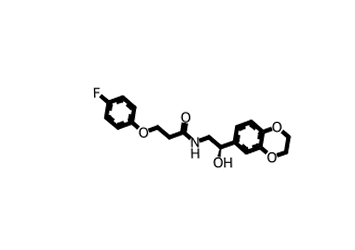 O=C(CCOc1ccc(F)cc1)NC[C@H](O)c1ccc2c(c1)OCCO2